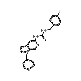 O=C(NCc1ccc(F)cc1)Nc1cc2cnn(-c3ccncc3)c2cn1